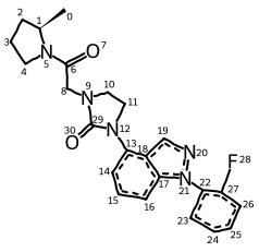 C[C@@H]1CCCN1C(=O)CN1CCN(c2cccc3c2cnn3-c2ccccc2F)C1=O